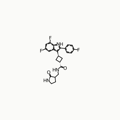 O=C1NCCC1CNC(=O)[C@H]1C[C@H](c2c(-c3ccc(F)cc3)[nH]c3c(F)cc(F)cc32)C1